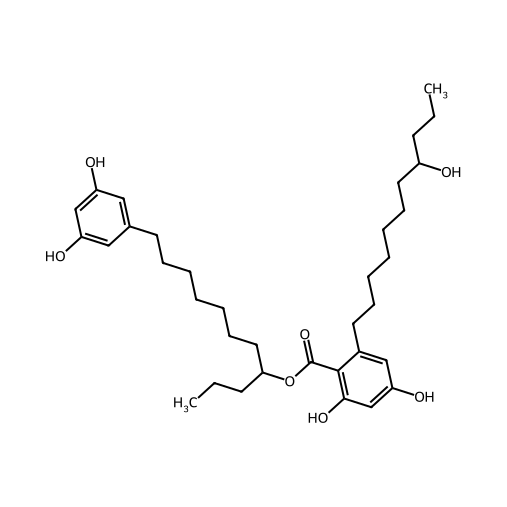 CCCC(O)CCCCCCCc1cc(O)cc(O)c1C(=O)OC(CCC)CCCCCCCc1cc(O)cc(O)c1